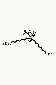 C=C(C)C(=O)[O][Zr](=[O])([O]C(C)C)([C](=O)CCCCCCCCCCCCCCCCC)[C](=O)CCCCCCCCCCCCCCCCC